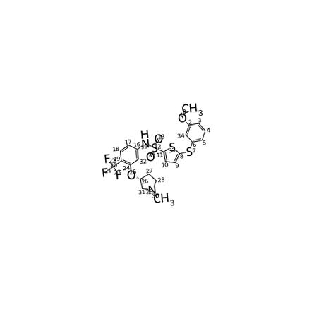 COc1cccc(Sc2ccc(S(=O)(=O)Nc3ccc(C(F)(F)F)c(O[C@@H]4CCN(C)C4)c3)s2)c1